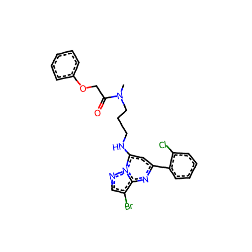 CN(CCCNc1cc(-c2ccccc2Cl)nc2c(Br)cnn12)C(=O)COc1ccccc1